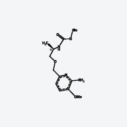 COc1ccc(COC[C@@H](C)NC(=O)OC(C)(C)C)nc1N